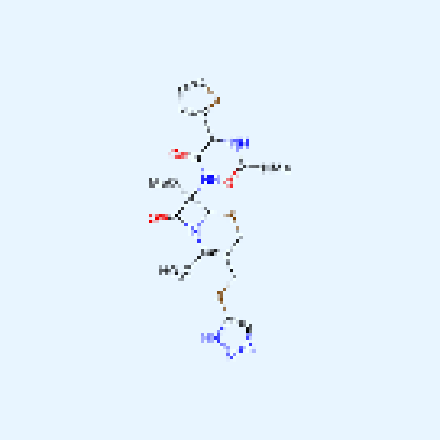 CNC(=O)NC(C(=O)N[C@]1(OC)C(=O)N2C(C(=O)O)=C(CSc3cnn[nH]3)CSC21)c1cccs1